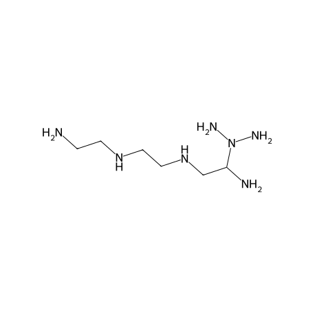 NCCNCCNCC(N)N(N)N